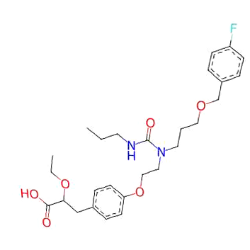 CCCNC(=O)N(CCCOCc1ccc(F)cc1)CCOc1ccc(CC(OCC)C(=O)O)cc1